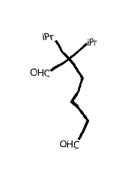 CC(C)C(C=O)(CCCC=O)C(C)C